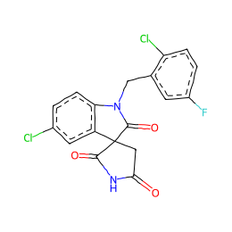 O=C1CC2(C(=O)N1)C(=O)N(Cc1cc(F)ccc1Cl)c1ccc(Cl)cc12